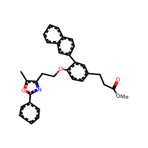 COC(=O)CCc1ccc(OCCc2nc(-c3ccccc3)oc2C)c(-c2ccc3ccccc3c2)c1